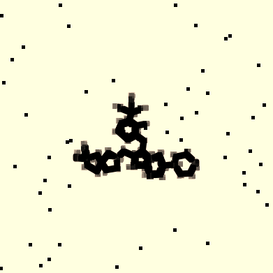 Cc1c(Cc2c(CN3CCC4(CCS(=O)(=O)C4)C3)nc3ncc(N4CCOCC4)cn23)cccc1C(F)(F)F